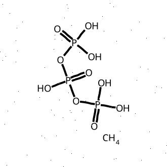 C.O=P(O)(O)OP(=O)(O)OP(=O)(O)O